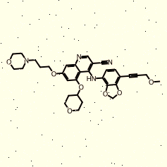 COCC#Cc1ccc(Nc2c(C#N)cnc3cc(OCCCN4CCOCC4)cc(OC4CCOCC4)c23)c2c1OCO2